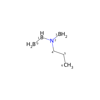 BBN(B)CCC